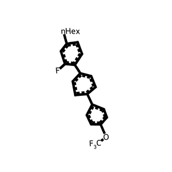 CCCCCCc1ccc(-c2ccc(-c3ccc(OC(F)(F)F)cc3)cc2)c(F)c1